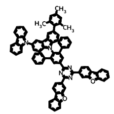 Cc1cc(C)c(-c2ccc3c(c2)c2cc(-n4c5ccccc5c5ccccc54)ccc2n3-c2c(-c3ccccc3)cc(-c3nc(-c4ccc5c(c4)oc4ccccc45)nc(-c4ccc5c(c4)oc4ccccc45)n3)cc2-c2ccccc2)c(C)c1